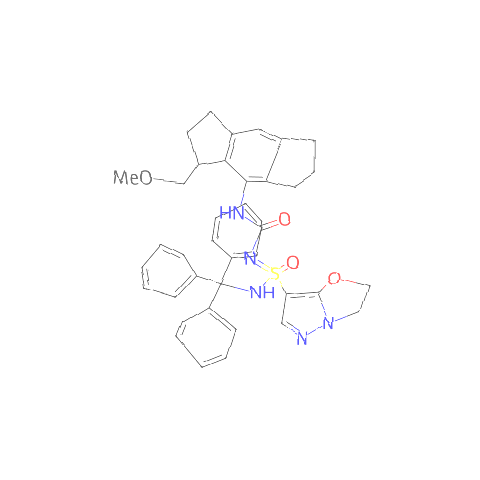 COCC1CCc2cc3c(c(NC(=O)N=S(=O)(NC(c4ccccc4)(c4ccccc4)c4ccccc4)c4cnn5c4OCC5)c21)CCC3